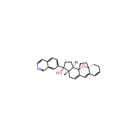 C[C@]12CC=C3C=C4C=CCC[C@]45CC[C@]3(O5)[C@@H]1CC[C@@]2(O)c1ccc2ccncc2c1